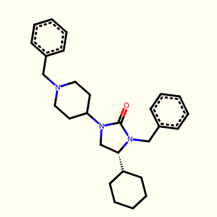 O=C1N(C2CCN(Cc3ccccc3)CC2)C[C@@H](C2CCCCC2)N1Cc1ccccc1